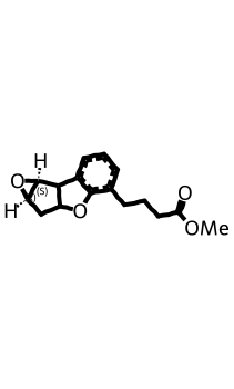 COC(=O)CCCc1cccc2c1OC1C[C@H]3O[C@H]3C21